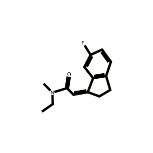 CCN(C)C(=O)/C=C1/CCc2ccc(F)cc21